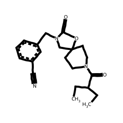 CCC(CC)C(=O)N1CCC2(CC1)CN(Cc1cccc(C#N)c1)C(=O)O2